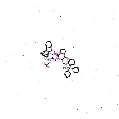 CC(C)C[C@H](NC(=O)[C@@H]1CCCN1C(=O)[C@H](CC(=O)NC(c1ccccc1)(c1ccccc1)c1ccccc1)NC(=O)OCC1c2ccccc2-c2ccccc21)C(=O)NCC(=O)O